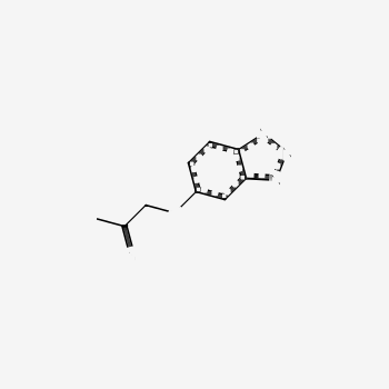 CC(=S)CSc1ccc2nn[nH]c2c1